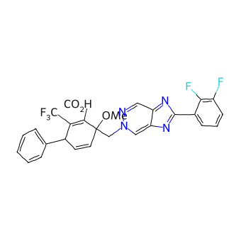 COC1(Cn2cc3nc(-c4cccc(F)c4F)nc-3cn2)C=CC(c2ccccc2)C(C(F)(F)F)=C1C(=O)O